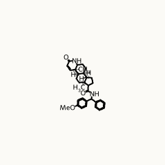 COc1ccc(C(NC(=O)C2CC[C@H]3[C@@H]4CCC5NC(=O)C=C[C@]5(C)[C@@H]4CC[C@]23C)c2ccccc2)cc1